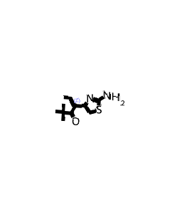 C/C=C(\C(=O)C(C)(C)C)C1CSC(N)=N1